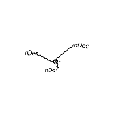 CCCCCCCCCCCCCCCCCCCc1cc(CCCCCCCCCCCCCCCCCCC)c[n+](CCCCCCCCCCCCC)c1